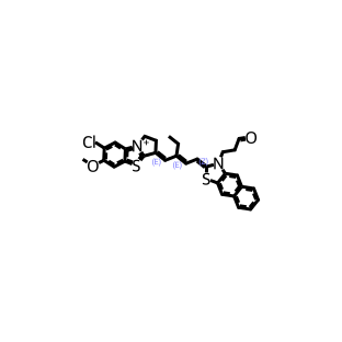 CCC(=C\C=C1/Sc2cc3ccccc3cc2N1CCC=O)/C=C1\CC[n+]2c1sc1cc(OC)c(Cl)cc12